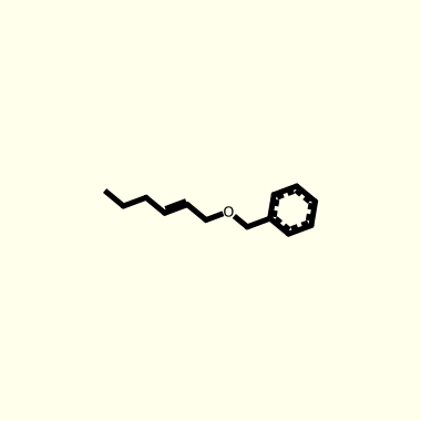 CCCC=CCOCc1ccccc1